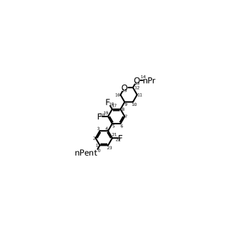 CCCCCc1ccc(-c2ccc(C3CCC(OCCC)OC3)c(F)c2F)c(F)c1